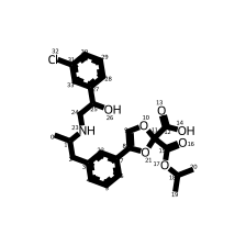 CC(Cc1cccc(C2=COC(C(=O)O)(C(=O)OC(C)C)O2)c1)NCC(O)c1cccc(Cl)c1